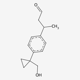 CC(CC=O)c1ccc(C2(CO)CC2)cc1